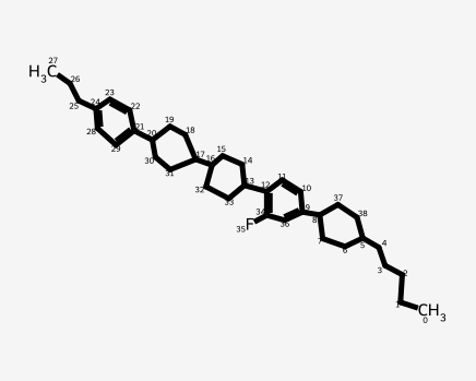 CCCCCC1CCC(c2ccc(C3CCC(C4CCC(c5ccc(CCC)cc5)CC4)CC3)c(F)c2)CC1